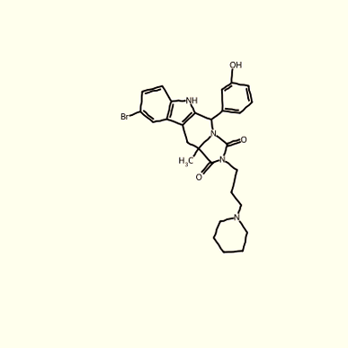 CC12Cc3c([nH]c4ccc(Br)cc34)C(c3cccc(O)c3)N1C(=O)N(CCCN1CCCCC1)C2=O